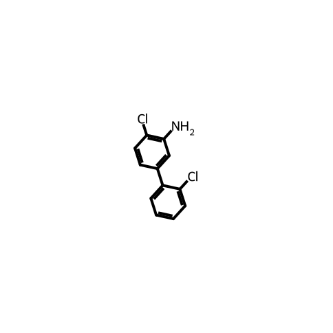 Nc1cc(-c2ccccc2Cl)ccc1Cl